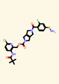 CC(C)(C)C(=O)Nc1ccc(Cl)nc1COC(=O)N1CC2=C(C1)CN(C(=O)c1ccc(SN)cc1F)C2